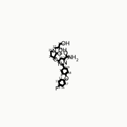 NC(=O)C1=NC(c2ccc(Oc3ccc(F)cc3)cc2)=NC(O[C@H]2CCN(C[C@H](O)CO)C2=O)C1